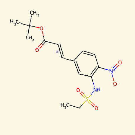 CCS(=O)(=O)Nc1cc(/C=C/C(=O)OC(C)(C)C)ccc1[N+](=O)[O-]